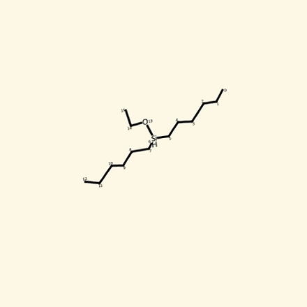 CCCCCC[SiH](CCCCCC)OCC